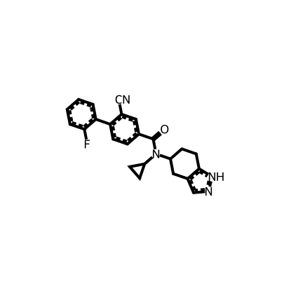 N#Cc1cc(C(=O)N(C2CC2)C2CCc3[nH]ncc3C2)ccc1-c1ccccc1F